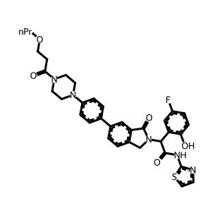 CCCOCCC(=O)N1CCN(c2ccc(-c3ccc4c(c3)C(=O)N(C(C(=O)Nc3nccs3)c3cc(F)ccc3O)C4)cc2)CC1